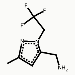 Cc1cc(CN)n(CC(F)(F)F)n1